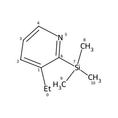 CCc1cccnc1[Si](C)(C)C